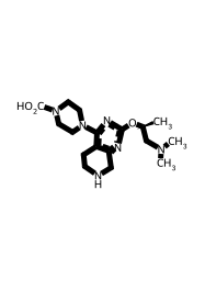 C[C@@H](CN(C)C)Oc1nc2c(c(N3CCN(C(=O)O)CC3)n1)CCNC2